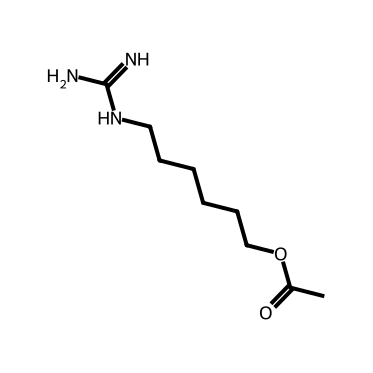 CC(=O)OCCCCCCNC(=N)N